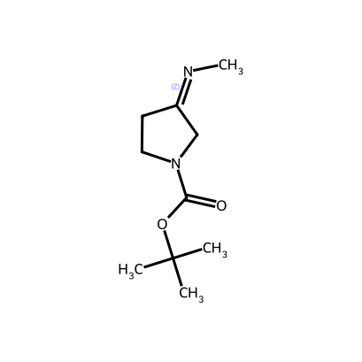 C/N=C1/CCN(C(=O)OC(C)(C)C)C1